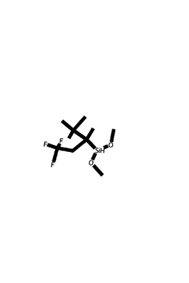 CO[SiH](OC)C(C)(CC(F)(F)F)C(C)(C)C